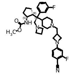 COC(=O)N[C@H]1CCC[C@@H]1[C@](CN1CCC1)(c1cccc(F)c1)C1CCN(CC2CN(c3ccc(C#N)c(F)c3)C2)CC1